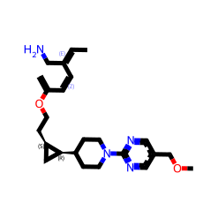 C=C(/C=C\C(=C/C)CN)OCC[C@@H]1C[C@@H]1C1CCN(c2ncc(COC)cn2)CC1